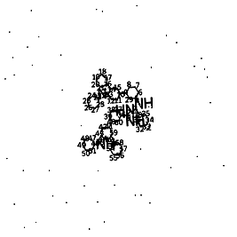 NC(NC(NC1CCCC(C2CCC3C(C2)C2C=CCCC2N3C2CCCCC2)C1)C1C=CCCC1)C1CCCC(C2CCC(NC3CCCCC3)C(C3CCCCC3)C2)C1